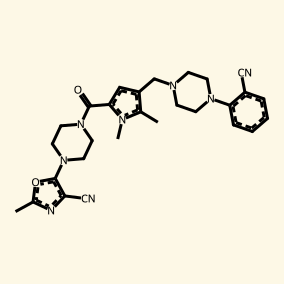 Cc1nc(C#N)c(N2CCN(C(=O)c3cc(CN4CCN(c5ccccc5C#N)CC4)c(C)n3C)CC2)o1